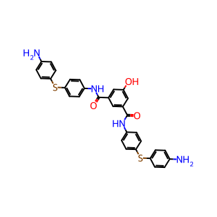 Nc1ccc(Sc2ccc(NC(=O)c3cc(O)cc(C(=O)Nc4ccc(Sc5ccc(N)cc5)cc4)c3)cc2)cc1